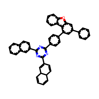 C1=CC2C=CC(c3nc(-c4ccc(-c5cc(-c6ccccc6)cc6oc7ccccc7c56)cc4)nc(-c4ccc5ccccc5c4)n3)=CC2C=C1